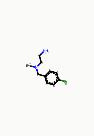 CC(C)N(CCN)Cc1ccc(Br)cc1